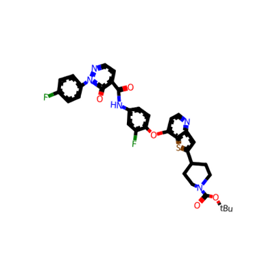 CC(C)(C)OC(=O)N1CCC(c2cc3nccc(Oc4ccc(NC(=O)c5ccnn(-c6ccc(F)cc6)c5=O)cc4F)c3s2)CC1